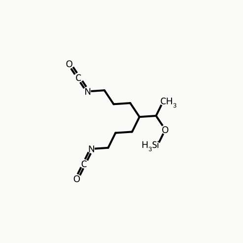 CC(O[SiH3])C(CCCN=C=O)CCCN=C=O